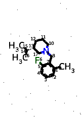 Cc1cccc(F)c1CN1CCC[C@@H](C(C)C)C1